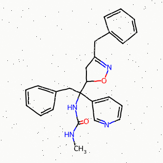 CNC(=O)NC(Cc1ccccc1)(c1cccnc1)C1CC(Cc2ccccc2)=NO1